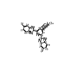 CC1=CC2N=C(c3cccc(C4=NC5C=C(C)C=CC5=N4)n3)N=C2C=C1.[Cl-].[Cl-].[Cl-].[V+3]